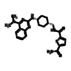 CC(=O)c1ccc(C(=O)NC[C@H]2CC[C@@H](Nc3nc(N(C)C)c4ccccc4n3)CC2)s1